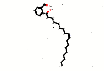 CCCCCCCC/C=C\CCCCCCCC(=O)c1ccccc1C=O